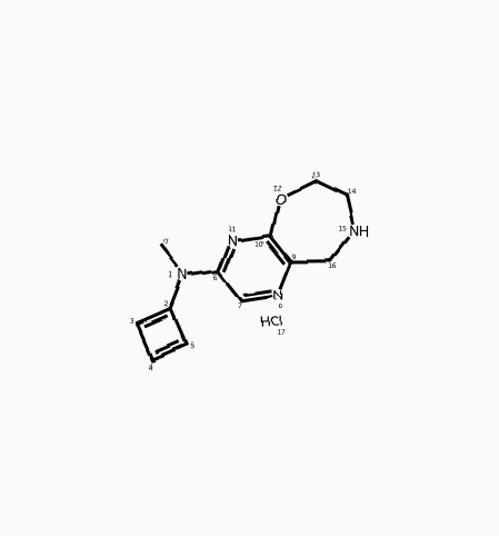 CN(C1=CC=C1)c1cnc2c(n1)OCCNC2.Cl